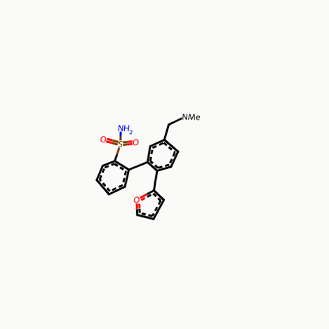 CNCc1ccc(-c2ccco2)c(-c2ccccc2S(N)(=O)=O)c1